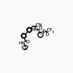 N#C[C@H](Cc1ccc(-c2cccc(C(=O)Nc3nccs3)c2)cc1)NC(=O)[C@@H]1CCCCN1OC(=O)C(F)(F)F